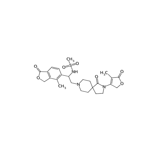 CC1=C(N2CCC3(CCN(CC(NS(C)(=O)=O)c4ccc5c(c4C)COC5=O)CC3)C2=O)COC1=O